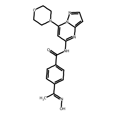 CC(=NO)c1ccc(C(=O)Nc2cc(N3CCOCC3)n3nccc3n2)cc1